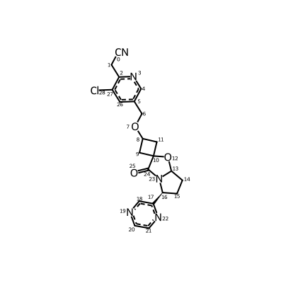 N#CCc1ncc(COC2CC3(C2)OC2CC[C@@H](c4cnccn4)N2C3=O)cc1Cl